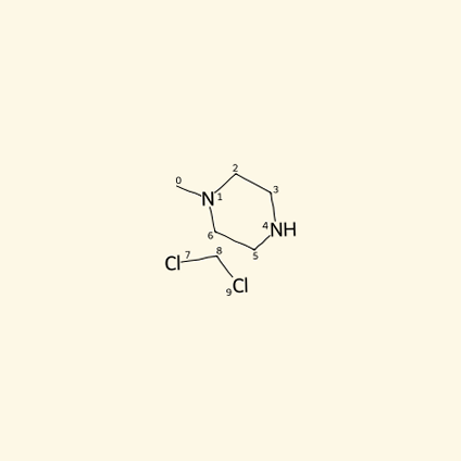 CN1CCNCC1.ClCCl